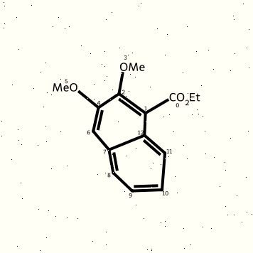 CCOC(=O)c1c(OC)c(OC)cc2ccccc12